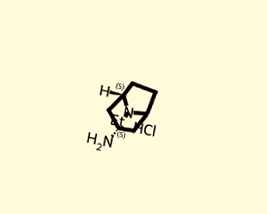 CCN1C2CC[C@H]1C[C@@H](N)C2.Cl